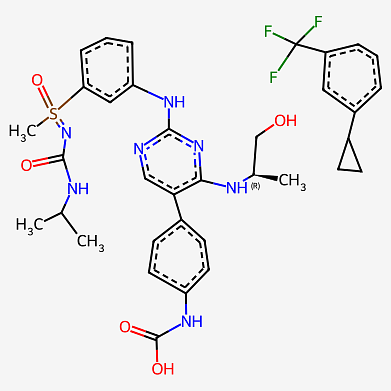 CC(C)NC(=O)N=S(C)(=O)c1cccc(Nc2ncc(-c3ccc(NC(=O)O)cc3)c(N[C@H](C)CO)n2)c1.FC(F)(F)c1cccc(C2CC2)c1